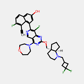 C#Cc1c(F)ccc2cc(O)cc(-c3ncc4c(N5CCCOCC5)nc(OC[C@]56CCC[C@H]5N(CC5CC(F)(F)C5)CCC6)nc4c3F)c12